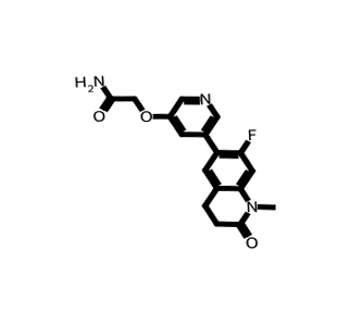 CN1C(=O)CCc2cc(-c3cncc(OCC(N)=O)c3)c(F)cc21